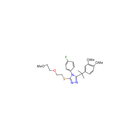 COCCOCCSc1nnc(C(C)(C)c2ccc(OC)c(OC)c2)n1-c1ccc(F)cc1